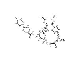 Cc1ccc(-c2ccc(C(=O)NCC(=O)N(C)[C@@H]3C(=O)N[C@@H](C)C(=O)N[C@H](C#N)Cc4ccc(OCCN)c(c4)-c4cc3ccc4OCCN)cc2)cc1